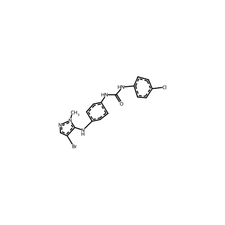 Cn1ncc(Br)c1Nc1ccc(NC(=O)Nc2ccc(Cl)cc2)cc1